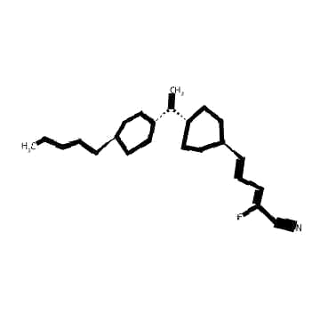 C=C([C@H]1CC[C@H](/C=C/C=C(\F)C#N)CC1)[C@H]1CC[C@H](CCCCC)CC1